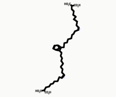 O=C(O)C(CCCCCCC/C=C\CCCCCCCCC1C2C=CC(C2)C1CCCCCCCC/C=C\CCCCCCCC(C(=O)O)C(=O)O)C(=O)O